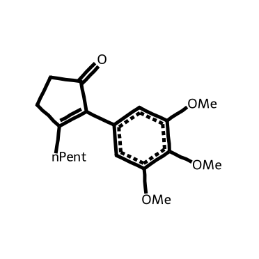 CCCCCC1=C(c2cc(OC)c(OC)c(OC)c2)C(=O)CC1